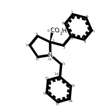 O=C(O)[C@]1(Cc2ccccc2)CCCN1Cc1ccccc1